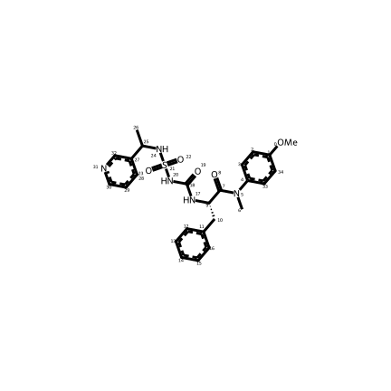 COc1ccc(N(C)C(=O)[C@H](Cc2ccccc2)NC(=O)NS(=O)(=O)NC(C)c2cccnc2)cc1